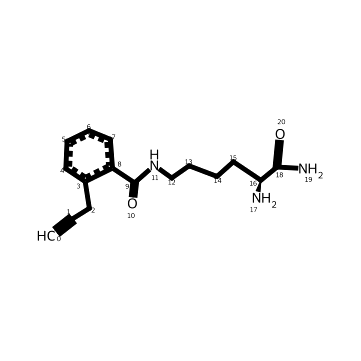 C#CCc1ccccc1C(=O)NCCCC[C@H](N)C(N)=O